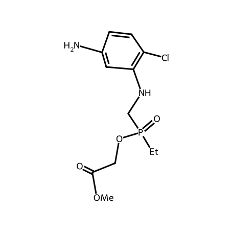 CCP(=O)(CNc1cc(N)ccc1Cl)OCC(=O)OC